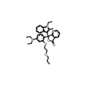 CCCOCCOc1cc(N(CC)CC)ccc1C1(c2c(C)n(CC)c3ccccc23)OC(=O)c2cccnc21